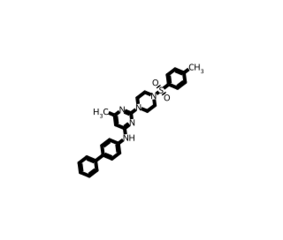 Cc1ccc(S(=O)(=O)N2CCN(c3nc(C)cc(Nc4ccc(-c5ccccc5)cc4)n3)CC2)cc1